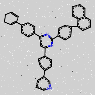 C1=CC(c2ccc(-c3cc(-c4ccc(-c5cccnc5)cc4)nc(-c4ccc(-c5cccc6ccccc56)cc4)n3)cc2)=CCC1